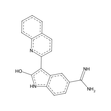 N=C(N)c1ccc2[nH]c(O)c(-c3ccc4ccccc4n3)c2c1